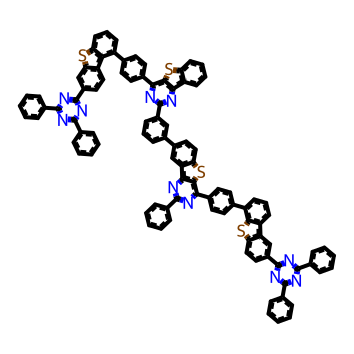 c1ccc(-c2nc(-c3ccccc3)nc(-c3ccc4c(c3)sc3cccc(-c5ccc(-c6nc(-c7cccc(-c8ccc9sc%10c(-c%11ccc(-c%12cccc%13c%12sc%12ccc(-c%14nc(-c%15ccccc%15)nc(-c%15ccccc%15)n%14)cc%12%13)cc%11)nc(-c%11ccccc%11)nc%10c9c8)c7)nc7c6sc6ccccc67)cc5)c34)n2)cc1